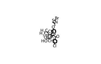 CC(C)(C)C(=O)c1c(CC(C)(C)C(=O)O)c(C(=O)c2ccc(Cl)cc2)n2ccc(OCc3csc(Br)n3)cc12